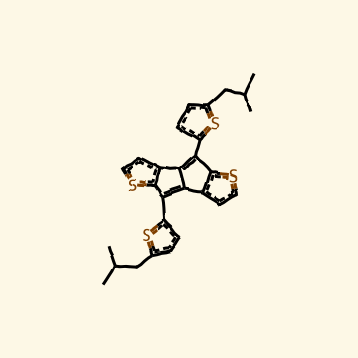 CC(C)Cc1ccc(C2=C3C(=C(c4ccc(CC(C)C)s4)c4sccc43)c3ccsc32)s1